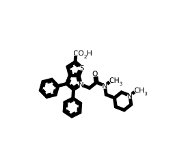 CN1CCCC(CN(C)C(=O)Cn2c(-c3ccccc3)c(-c3ccccc3)c3cc(C(=O)O)sc32)C1